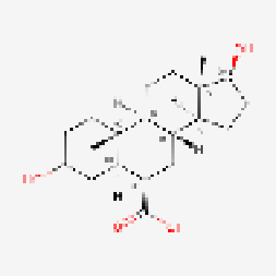 C[C@]12CCC(O)C[C@@H]1[C@H](C(=O)O)C[C@@H]1[C@@H]2CC[C@]2(C)[C@@H](O)CC[C@@H]12